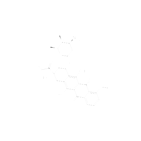 COc1cccc2c1C(=O)c1c(O)c3c(c(O)c1C2=O)C[C@@](O)(C(=O)CO)C[C@@H]3O[C@H]1C[C@H](N)[C@H](C)[C@H](C)O1